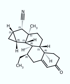 CC[C@@H]1CC2=CC(=O)CC[C@@H]2[C@H]2CC[C@@]3(C)[C@@H]([C@@H]4C[C@@H]4[C@@H]3C#N)[C@H]12